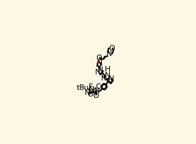 CC(C)(C)c1noc(C(=O)NCc2ccc(-c3ccnc4[nH]c(-c5cnn(C6CCN(C(=O)/C=C/CN7CCOCC7)C6)c5)nc34)cc2C(F)(F)F)n1